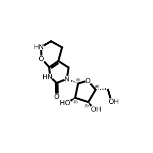 O=C1NC2=C(CCNO2)CN1[C@@H]1O[C@H](CO)[C@@H](O)[C@H]1O